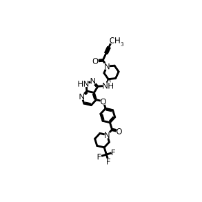 CC#CC(=O)N1CCC[C@@H](Nc2n[nH]c3nccc(Oc4ccc(C(=O)N5CCCC(C(F)(F)F)C5)cc4)c23)C1